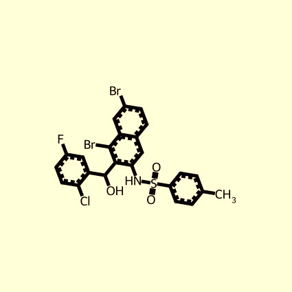 Cc1ccc(S(=O)(=O)Nc2cc3ccc(Br)cc3c(Br)c2C(O)c2cc(F)ccc2Cl)cc1